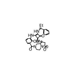 CC[C@@H](Nc1c(Nc2cccc(C(=O)N3CCN4C(CCS4(=O)=O)C3)c2OC)c(=O)c1=O)c1ccccc1